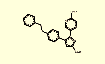 COc1ccc(-n2nc(OC)cc2-c2ccc(OCc3ccccc3)cc2)cn1